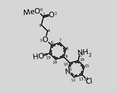 COC(=O)CCOc1ccc(-c2ncc(Cl)cc2N)cc1O